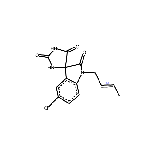 C/C=C/CN1C(=O)C2(NC(=O)NC2=O)c2cc(Cl)ccc21